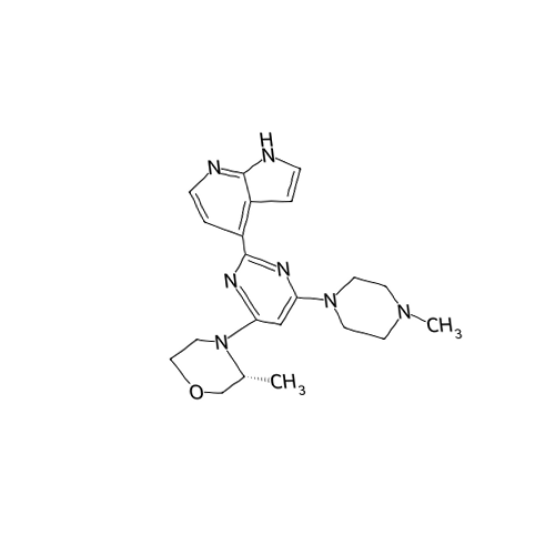 C[C@@H]1COCCN1c1cc(N2CCN(C)CC2)nc(-c2ccnc3[nH]ccc23)n1